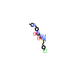 CC1CCN(Cc2ccc(N3C[C@H](NC(=O)c4nnc(CCc5ccc(Cl)cc5)s4)CC3=O)cc2)CC1